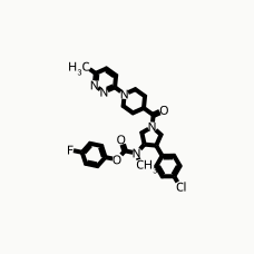 Cc1ccc(N2CCC(C(=O)N3CC(c4ccc(Cl)cc4)C(N(C)C(=O)Oc4ccc(F)cc4)C3)CC2)nn1